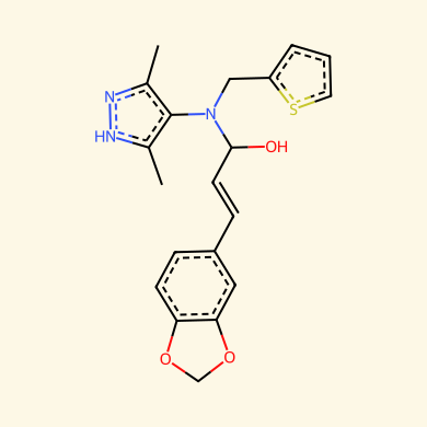 Cc1n[nH]c(C)c1N(Cc1cccs1)C(O)/C=C/c1ccc2c(c1)OCO2